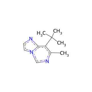 Cc1ncn2ccnc2c1C(C)(C)C